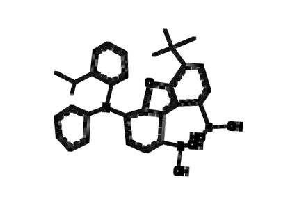 CC(C)c1ccccc1N(c1ccccc1)c1ccc(B(O)O)c2c1oc1c(C(C)(C)C)ccc(B(O)O)c12